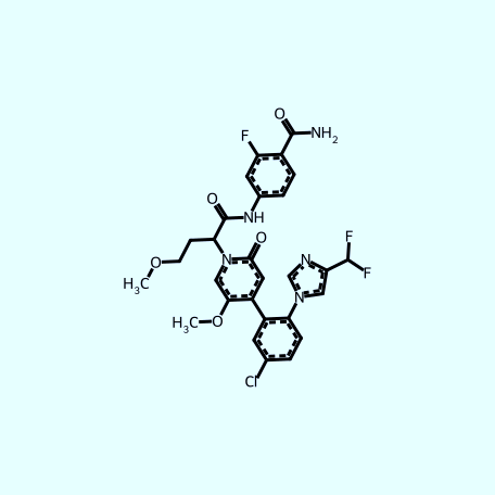 COCCC(C(=O)Nc1ccc(C(N)=O)c(F)c1)n1cc(OC)c(-c2cc(Cl)ccc2-n2cnc(C(F)F)c2)cc1=O